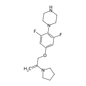 C=C(COc1cc(F)c(N2CCNCC2)c(F)c1)N1CCCC1